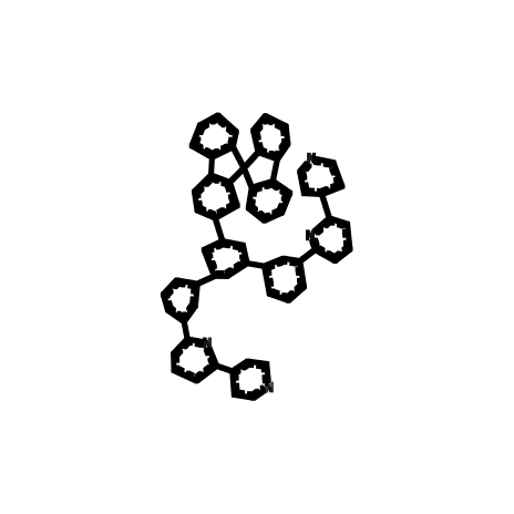 c1cc(-c2cc(-c3cccc(-c4cccc(-c5ccncc5)n4)c3)cc(-c3ccc4c(c3)C3(c5ccccc5-c5ccccc53)c3ccccc3-4)c2)cc(-c2cccc(-c3ccncc3)n2)c1